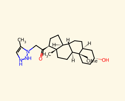 COC[C@]12CC[C@@H](O)C[C@@H]1CC[C@H]1[C@@H]3CC[C@H](C(=O)CN4NNC=C4C)[C@@]3(C)CC[C@@H]12